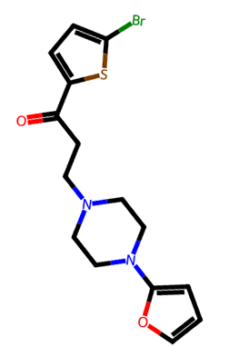 O=C(CCN1CCN(c2ccco2)CC1)c1ccc(Br)s1